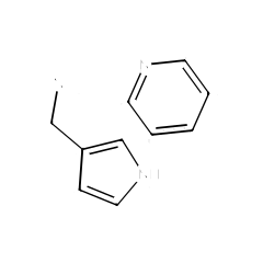 NCc1cc[nH]c1.c1ccncc1